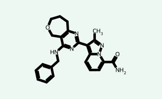 Cc1nn2c(C(N)=O)cccc2c1-c1nc2c(c(NCc3ccccc3)n1)COCCC2